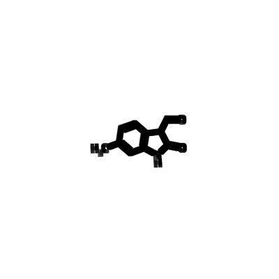 Cc1ccc2c(c1)NC(=O)C2C=O